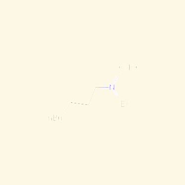 CCCCCCCN(C=O)CC